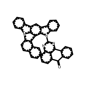 O=C1c2ccccc2-c2nc(-n3c4ccccc4c4cc5c6ccccc6n6c7ccc8ccccc8c7c(c43)c56)nc3cccc1c23